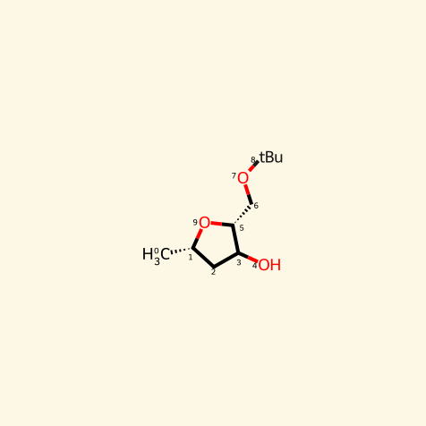 C[C@H]1CC(O)[C@@H](COC(C)(C)C)O1